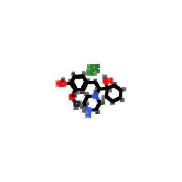 Cl.Cl.Oc1ccc(CC(N2CCNCC2)C2(O)CCCCC2)cc1OC(F)(F)F